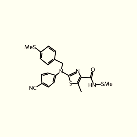 CSNC(=O)c1nc(N(Cc2ccc(SC)cc2)c2ccc(C#N)cc2)sc1C